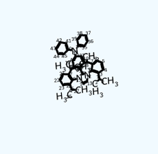 CC(C)c1cccc(C(C)C)c1N1C=CN(c2c(C(C)C)cccc2C(C)C)C1c1ccc(N(c2ccccc2)c2ccccc2)cc1